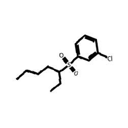 CCCCC(CC)S(=O)(=O)c1cccc(Cl)c1